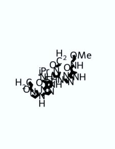 C=CC(=O)N1CC[C@H](Nc2cnc3[nH]cc(C(=O)NCC(C)C)c3n2)C1.C=CC(=O)N1C[C@@H](CC)[C@@H](Nc2cnc3[nH]cc(C(=O)NCCOC)c3n2)C1